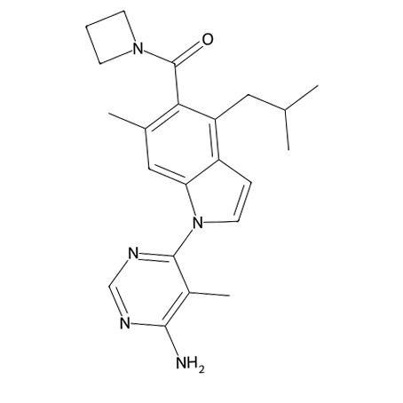 Cc1cc2c(ccn2-c2ncnc(N)c2C)c(CC(C)C)c1C(=O)N1CCC1